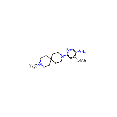 COc1cc(N2CCC3(CCN(C)CC3)CC2)ncc1N